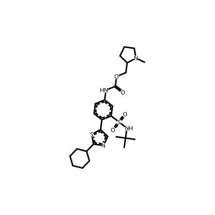 CN1CCCC1COC(=O)Nc1ccc(-c2cnc(C3CCCCC3)s2)c(S(=O)(=O)NC(C)(C)C)c1